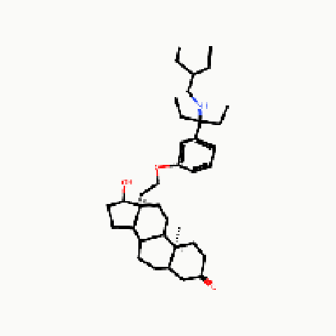 CCC(CC)CNC(CC)(CC)c1cccc(OCC[C@]23CCC4C(CCC5CC(=O)CC[C@@]54C)C2CCC3O)c1